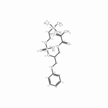 C=C(C)C(=O)OCC(CSc1ccccc1)OP(=O)(O)OCC[N+](C)(C)C